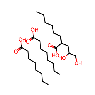 CCCCCCC(CC(O)CO)C(=O)O.CCCCCCCC(=O)O.CCCCCCCC(=O)O